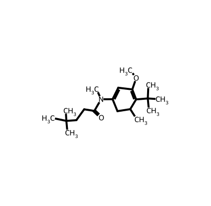 COC1=C(C(C)(C)C)C(C)CC(N(C)C(=O)CCC(C)(C)C)=C1